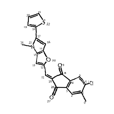 Cc1cc2c(cc1Cl)C(=O)/C(=C\c1cc3c(cc(-c4cccs4)n3C)o1)C2=O